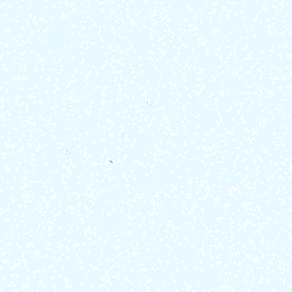 CC(C)C[C@H](NC(=O)C(=O)Nc1ccccc1F)C(=O)N[C@@H](C[C@@H]1CCNC1=O)C(=O)COC(C(F)F)C(F)F